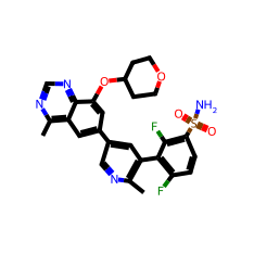 Cc1ncc(-c2cc(OC3CCOCC3)c3ncnc(C)c3c2)cc1-c1c(F)ccc(S(N)(=O)=O)c1F